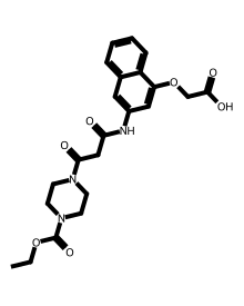 CCOC(=O)N1CCN(C(=O)CC(=O)Nc2cc(OCC(=O)O)c3ccccc3c2)CC1